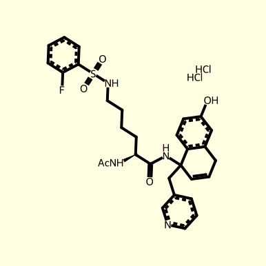 CC(=O)N[C@@H](CCCCNS(=O)(=O)c1ccccc1F)C(=O)NC1(Cc2cccnc2)C=CCc2cc(O)ccc21.Cl.Cl